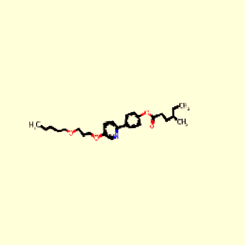 CCCCCOCCCOc1ccc(-c2ccc(OC(=O)CCC(C)CC)cc2)nc1